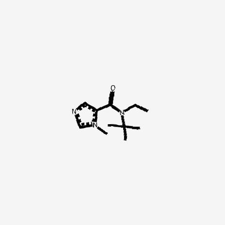 CCN(C(=O)c1cncn1C)C(C)(C)C